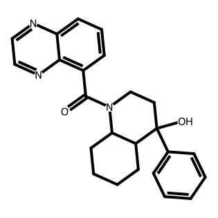 O=C(c1cccc2nccnc12)N1CCC(O)(c2ccccc2)C2CCCCC21